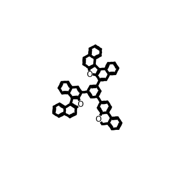 c1ccc2c(c1)COc1cc(-c3cc(-c4cc5ccccc5c5c4oc4ccc6ccccc6c45)cc(-c4cc5ccccc5c5c4oc4ccc6ccccc6c45)c3)ccc1-2